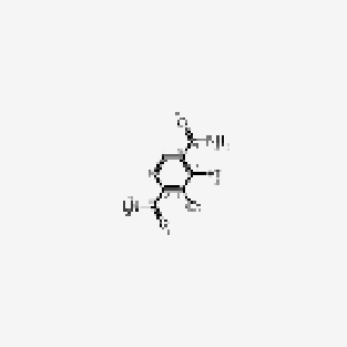 CCc1c(C(N)=O)ccc(C(N)=O)c1CC